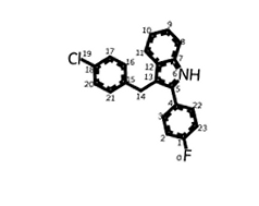 Fc1ccc(-c2[nH]c3ccccc3c2Cc2ccc(Cl)cc2)cc1